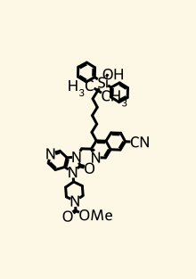 COC(=O)N1CCC(n2c(=O)n(Cc3ncc4cc(C#N)ccc4c3CCCCCC(C)(C)[Si](O)(c3ccccc3)c3ccccc3)c3cnccc32)CC1